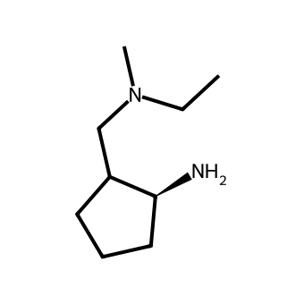 CCN(C)CC1CCC[C@@H]1N